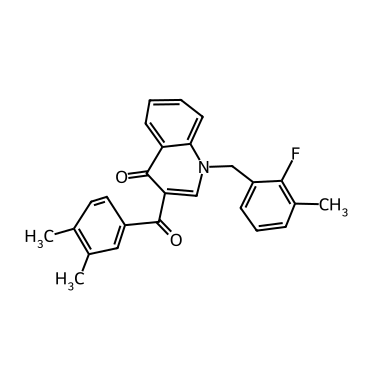 Cc1ccc(C(=O)c2cn(Cc3cccc(C)c3F)c3ccccc3c2=O)cc1C